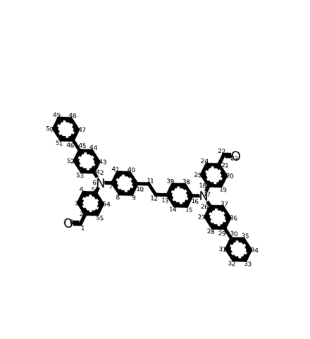 O=Cc1ccc(N(c2ccc(CCc3ccc(N(c4ccc(C=O)cc4)c4ccc(-c5ccccc5)cc4)cc3)cc2)c2ccc(-c3ccccc3)cc2)cc1